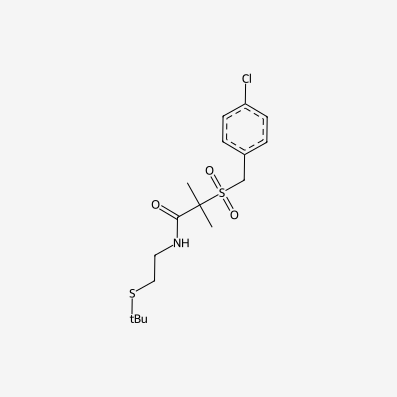 CC(C)(C)SCCNC(=O)C(C)(C)S(=O)(=O)Cc1ccc(Cl)cc1